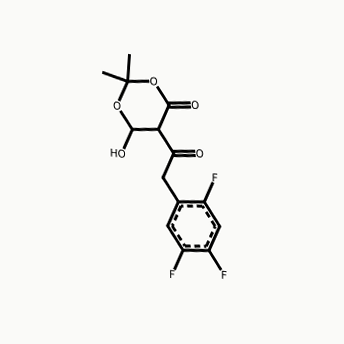 CC1(C)OC(=O)C(C(=O)Cc2cc(F)c(F)cc2F)C(O)O1